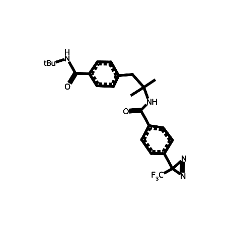 CC(C)(C)NC(=O)c1ccc(CC(C)(C)NC(=O)c2ccc(C3(C(F)(F)F)N=N3)cc2)cc1